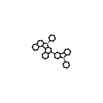 c1ccc(-n2c3ccccc3c3cc(-c4cc5c(c6ccccc46)c4c6ccccc6ccc4n5-c4ccccc4)ccc32)cc1